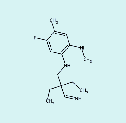 CCC(C=N)(CC)CNc1cc(F)c(C)cc1NC